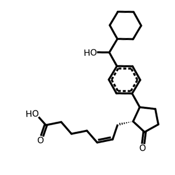 O=C(O)CCC/C=C\C[C@H]1C(=O)CCC1c1ccc(C(O)C2CCCCC2)cc1